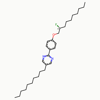 CCCCCCCCCCc1cnc(-c2ccc(OC[C@@H](F)CCCCCCCC)cc2)nc1